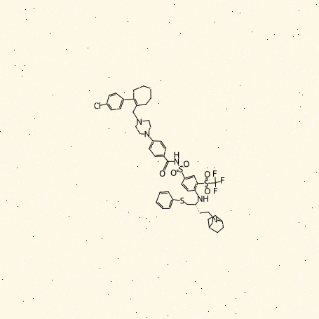 O=C(NS(=O)(=O)c1ccc(N[C@H](CCN2C3CCC2CC3)CSc2ccccc2)c(S(=O)(=O)C(F)(F)F)c1)c1ccc(N2CCN(CC3=C(c4ccc(Cl)cc4)CCCCC3)CC2)cc1